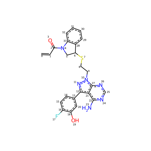 C=CC(=O)N1CC(SCCn2nc(-c3ccc(F)c(O)c3)c3c(N)ncnc32)c2ccccc21